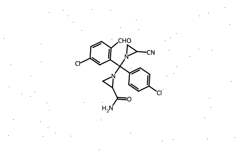 N#CC1CN1C(c1ccc(Cl)cc1)(c1cc(Cl)ccc1C=O)N1CC1C(N)=O